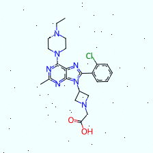 CCN1CCN(c2nc(C)nc3c2nc(-c2ccccc2Cl)n3C2CN(CC(=O)O)C2)CC1